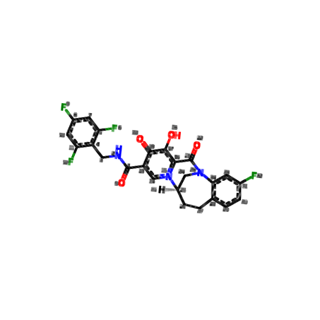 O=C(NCc1c(F)cc(F)cc1F)c1cn2c(c(O)c1=O)C(=O)N1C[C@H]2CCc2ccc(F)cc21